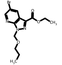 CCCOCn1nc(C(=O)OCC)c2cc(Br)cnc21